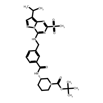 CC(C)c1cnn2c(NCc3cccc(C(=O)N[C@H]4CCCN(C(=O)OC(C)(C)C)C4)c3)nc(S(C)(=O)=O)nc12